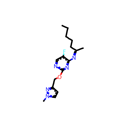 CCCCC/C(C)=N\c1nc(OCc2ccn(C)n2)ncc1F